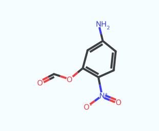 Nc1ccc([N+](=O)[O-])c(OC=O)c1